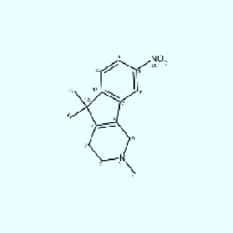 CN1CCC2=C(C1)c1cc([N+](=O)[O-])ccc1C2(C)C